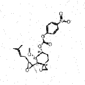 CO[C@@H]1[C@H](OC(=O)Oc2ccc([N+](=O)[O-])cc2)CC[C@]2(CO2)[C@H]1[C@@]1(C)OC1CC=C(C)C